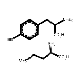 CC(=O)NC(Cc1ccc(O)cc1)C(=O)O.CSCCC(N)C(=O)O